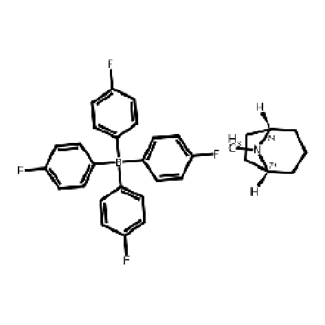 CN1[C@@H]2CCC[C@H]1CC2.Fc1ccc([B-](c2ccc(F)cc2)(c2ccc(F)cc2)c2ccc(F)cc2)cc1